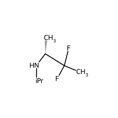 CC(C)N[C@H](C)C(C)(F)F